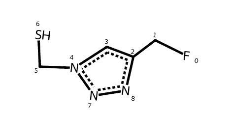 FCc1cn(CS)nn1